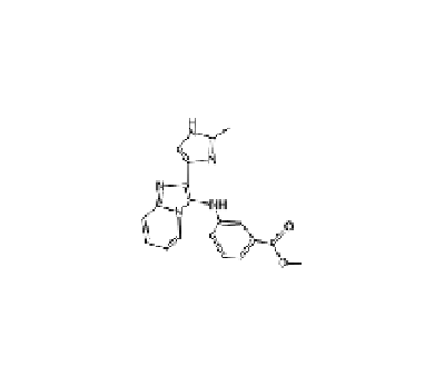 COC(=O)c1cccc(Nc2c(-c3c[nH]c(C)n3)nc3ccccn23)c1